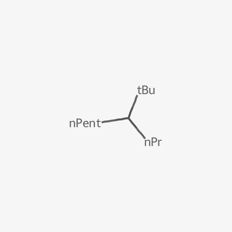 CCCCCC(CCC)C(C)(C)C